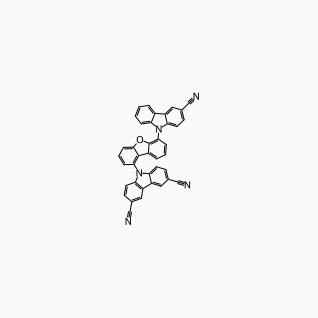 N#Cc1ccc2c(c1)c1ccccc1n2-c1cccc2c1oc1cccc(-n3c4ccc(C#N)cc4c4cc(C#N)ccc43)c12